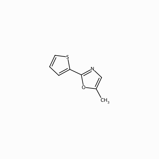 Cc1cnc(-c2cccs2)o1